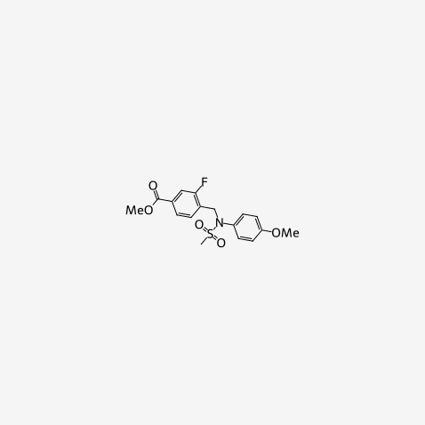 COC(=O)c1ccc(CN(c2ccc(OC)cc2)S(C)(=O)=O)c(F)c1